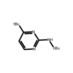 CCCCNc1nccc(C(C)(C)C)n1